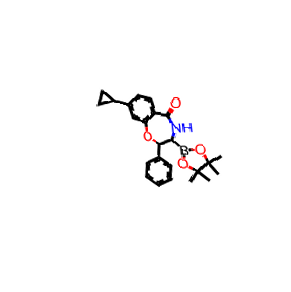 CC1(C)OB(C2NC(=O)c3ccc(C4CC4)cc3OC2c2ccccc2)OC1(C)C